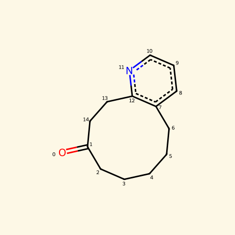 O=C1CCCCCc2cccnc2CC1